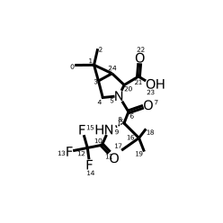 CC1(C)C2CN(C(=O)[C@@H](NC(=O)C(F)(F)F)C(C)(C)C)C(C(=O)O)C21